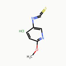 COc1ccc(N=C=S)cn1.Cl